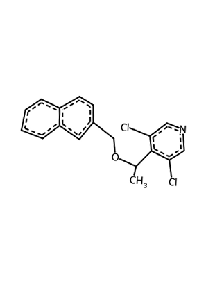 CC(OCc1ccc2ccccc2c1)c1c(Cl)cncc1Cl